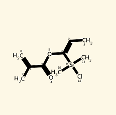 C=C(C)C(=O)OC(=CC)[Si](C)(C)Cl